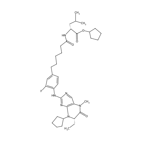 CC[C@H]1C(=O)N(C)c2cnc(Nc3ccc(CCCCCC(=O)N[C@H](CC(C)C)C(=O)OC4CCCC4)cc3F)nc2N1C1CCCC1